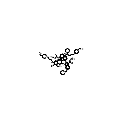 CC(C)(C)OC(=O)n1c(-c2cc(OCCCN3CCC(CO)CC3)c(Cl)c3c2C(C(=O)C2NCc4c(Cl)c(OCCCN5CCC(CO)CC5)cc(-c5cc6cc(CN7CCCCC7)ccc6n5C(=O)OC(C)(C)C)c42)NC3)cc2cc(CN3CCCCC3)ccc21